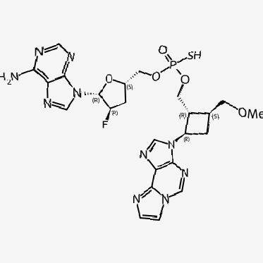 COC[C@H]1C[C@@H](n2cnc3c2ncn2ccnc32)[C@@H]1COP(=O)(S)OC[C@@H]1C[C@@H](F)[C@H](n2cnc3c(N)ncnc32)O1